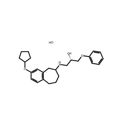 Cl.O[C@@H](CNC1CCCc2ccc(OC3CCCC3)cc2C1)COc1ccccc1